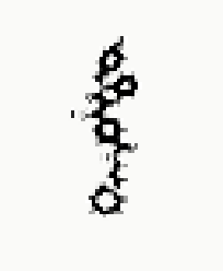 C/C(=C1/Oc2ccccc2N(Cc2ccc(F)cc2)C1=O)C1C=CC(C(=O)NCCCN2CCCCCC2)=CC1